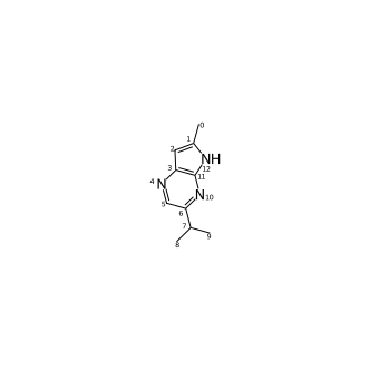 Cc1cc2ncc(C(C)C)nc2[nH]1